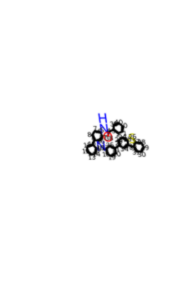 c1ccc(C2Nc3ccc4c5ccccc5n(-c5cccc(-c6ccc7sc8ccccc8c7c6)c5)c4c3O2)cc1